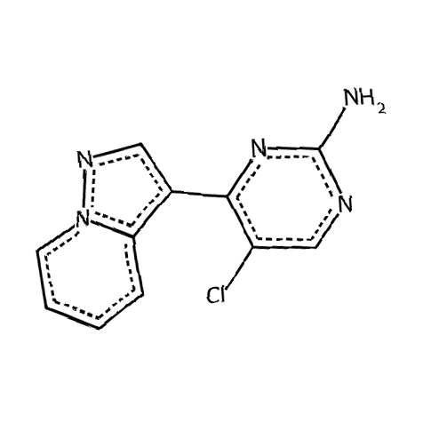 Nc1ncc(Cl)c(-c2cnn3ccccc23)n1